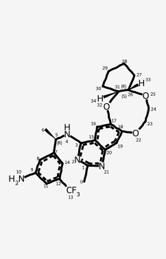 Cc1nc(N[C@H](C)c2cc(N)cc(C(F)(F)F)c2)c2cc3c(cc2n1)OCCO[C@H]1CCCC[C@H]1O3